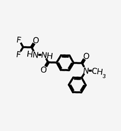 CN(C(=O)c1ccc(C(=O)NNC(=O)C(F)F)cc1)c1ccccc1